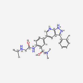 Cc1ccccc1-c1n[nH]c2ncc(-c3ccc(NC(=O)CNC(C)C)c(C(=O)N(C)C)c3)cc12